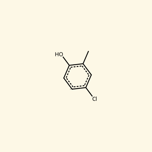 Cc1cc(Cl)[c]cc1O